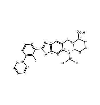 Cc1c(-c2ccccc2)cccc1-c1nc2cc(CN3CCCCC3C(=O)O)c(OC(F)F)cc2o1